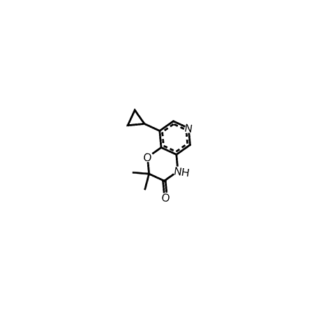 CC1(C)Oc2c(cncc2C2CC2)NC1=O